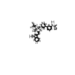 CC(=O)Nc1cccc(-c2cncc(OC[C@H](Cc3c[nH]c4ccccc34)NC(=O)OC(C)(C)C)c2)c1